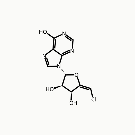 Oc1ncnc2c1ncn2[C@@H]1O/C(=C/Cl)[C@@H](O)[C@H]1O